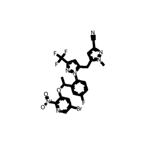 CC(Oc1cc(Br)cnc1[N+](=O)[O-])c1cc(F)ccc1-n1nc(C(F)(F)F)cc1Cc1cc(C#N)nn1C